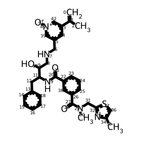 C=C(C)c1cc(CNCC(O)C(Cc2ccccc2)NC(=O)c2cccc(C(=O)N(C)Cc3nc(C)cs3)c2)c[n+]([O-])c1